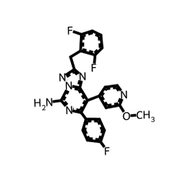 COc1cc(-c2c(-c3ccc(F)cc3)nc(N)n3nc(Cc4c(F)cccc4F)nc23)ccn1